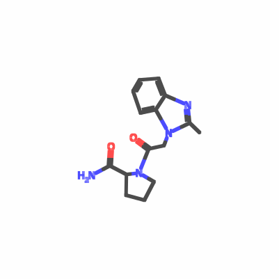 Cc1nc2ccccc2n1CC(=O)N1CCCC1C(N)=O